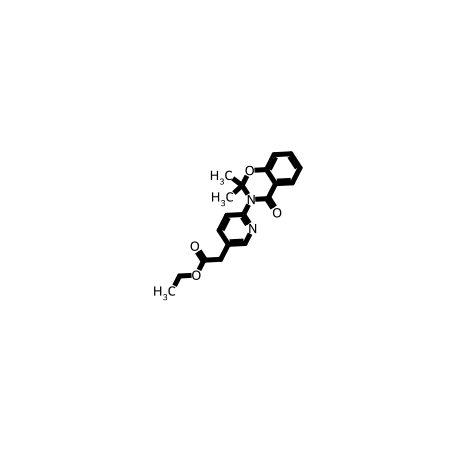 CCOC(=O)Cc1ccc(N2C(=O)c3ccccc3OC2(C)C)nc1